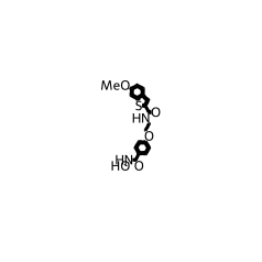 COc1ccc2cc(C(=O)NCCOc3ccc(C(=O)NO)cc3)sc2c1